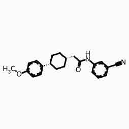 COc1ccc([C@H]2CC[C@@H](CC(=O)Nc3cccc(C#N)c3)CC2)cc1